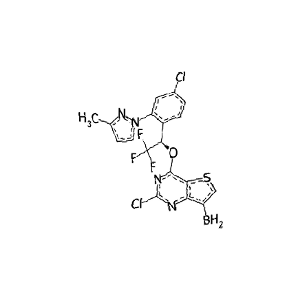 Bc1csc2c(O[C@H](c3ccc(Cl)cc3-n3ccc(C)n3)C(F)(F)F)nc(Cl)nc12